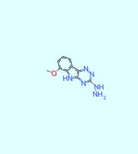 COc1cccc2c1[nH]c1nc(NN)nnc12